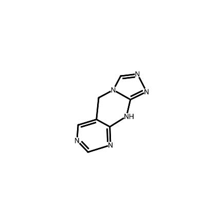 c1ncc2c(n1)Nc1nncn1C2